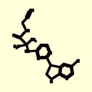 C#CCNC(=O)C(C)(C)Nc1ccnc(C2CNc3ncc(Cl)cc32)n1